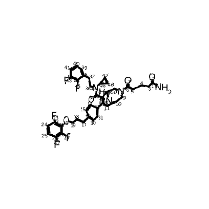 NC(=O)CCCC(=O)N1CC2CC(c3ccc(CCCOc4c(F)ccc(F)c4F)cc3)=C(C(=O)N(CCc3cccc(F)c3F)C3CC3)[C@@H](C1)N2